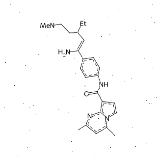 CCC(/C=C(\N)c1ccc(NC(=O)c2ccn3c(C)cc(C)nc23)cc1)CCNC